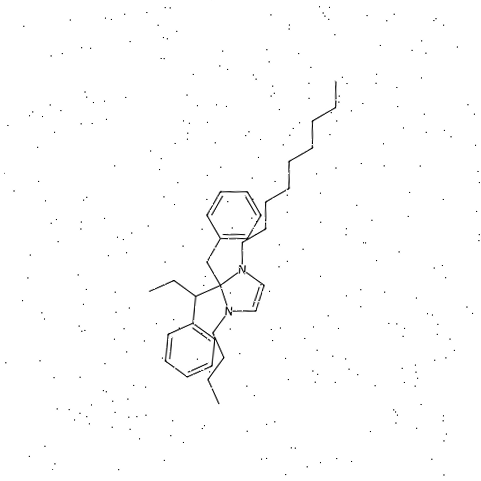 CCCCCCCCCN1C=CN(CCCC)C1(Cc1ccccc1)C(CC)c1ccccc1